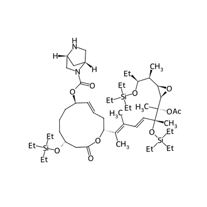 CC[C@H](O[Si](CC)(CC)CC)[C@@H](C)[C@H]1O[C@H]1[C@@](C)(OC(C)=O)[C@@](C)(/C=C/C(C)=C(\C)[C@H]1C/C=C/[C@H](OC(=O)N2C[C@H]3C[C@@H]2CN3)CCC[C@@H](O[Si](CC)(CC)CC)CC(=O)O1)O[Si](CC)(CC)CC